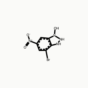 O=[N+]([O-])c1cc(Br)c2c(c1)N(O)NN2